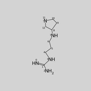 N=C(N)NCCCNC1CC[N]C1